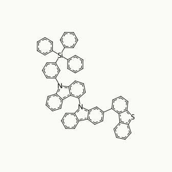 c1ccc([Si](c2ccccc2)(c2ccccc2)c2cccc(-n3c4ccccc4c4c(-n5c6ccccc6c6ccc(-c7cccc8sc9ccccc9c78)cc65)cccc43)c2)cc1